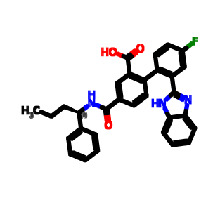 CCC[C@@H](NC(=O)c1ccc(-c2ccc(F)cc2-c2nc3ccccc3[nH]2)c(C(=O)O)c1)c1ccccc1